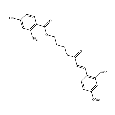 COc1ccc(/C=C/C(=O)OCCCOC(=O)c2ccc(N)cc2N)c(OC)c1